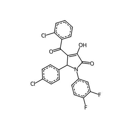 O=C(C1=C(O)C(=O)N(c2ccc(F)c(F)c2)C1c1ccc(Cl)cc1)c1ccccc1Cl